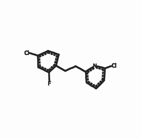 Fc1cc(Cl)ccc1CCc1cccc(Cl)n1